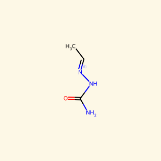 C/C=N/NC(N)=O